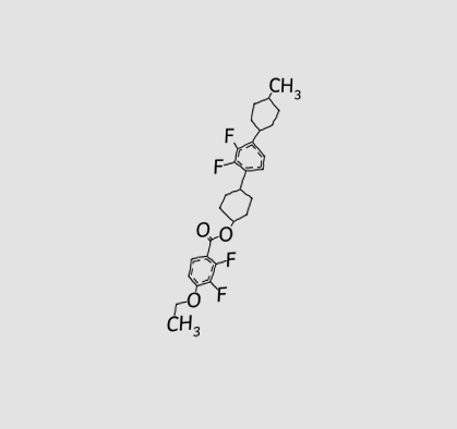 CCOc1ccc(C(=O)OC2CCC(c3ccc(C4CCC(C)CC4)c(F)c3F)CC2)c(F)c1F